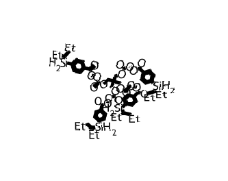 CCC=C(CC)[SiH2]c1ccc(C(=O)OOC(=O)OCC(COC(=O)OOC(=O)c2ccc([SiH2]C(=CCC)CC)cc2)(COC(=O)OOC(=O)c2ccc([SiH2]C(=CCC)CC)cc2)COC(=O)OOC(=O)c2ccc([SiH2]C(=CCC)CC)cc2)cc1